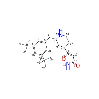 CC(C)(C)c1cc(CC2CC(c3cc(=O)[nH]o3)CCN2)cc(C(C)(C)C)c1